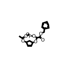 CC(=O)OC1C=CC(OC(OP=O)C(=O)OCc2ccccc2)C1